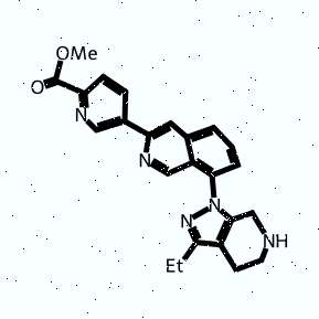 CCc1nn(-c2cccc3cc(-c4ccc(C(=O)OC)nc4)ncc23)c2c1CCNC2